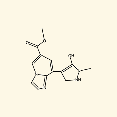 COC(=O)c1cc(C2=C(O)N(C)NC2)c2nccn2c1